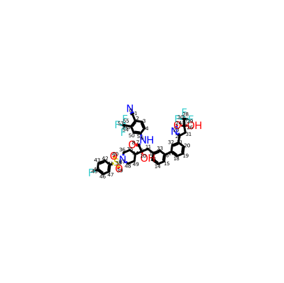 N#Cc1ccc(NC(=O)C(O)(Cc2cccc(-c3cccc(C4=NOC(O)(C(F)(F)F)C4)c3)c2)C2CCN(S(=O)(=O)c3ccc(F)cc3)CC2)cc1C(F)(F)F